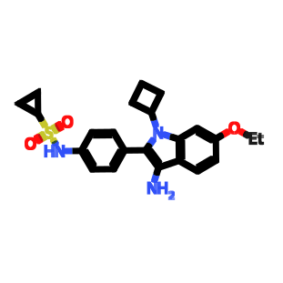 CCOc1ccc2c(N)c(-c3ccc(NS(=O)(=O)C4CC4)cc3)n(C3CCC3)c2c1